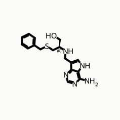 Nc1ncnc2c(CN[C@H](CO)CSCc3ccccc3)c[nH]c12